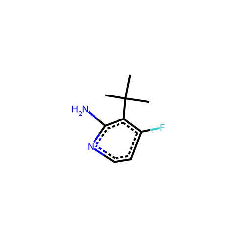 CC(C)(C)c1c(F)ccnc1N